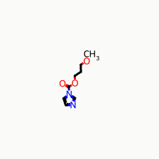 COCCCOC(=O)n1ccnc1